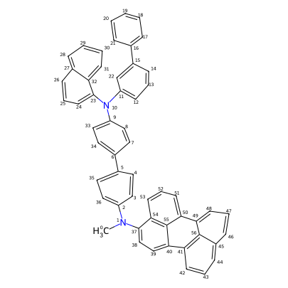 CN(c1ccc(-c2ccc(N(c3cccc(-c4ccccc4)c3)c3cccc4ccccc34)cc2)cc1)c1ccc2c3cccc4cccc(c5cccc1c52)c43